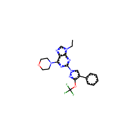 CCn1cnc2c(N3CCOCC3)nc(-n3cc(-c4ccccc4)c(OC(F)(F)F)n3)nc21